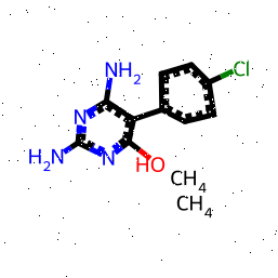 C.C.Nc1nc(N)c(-c2ccc(Cl)cc2)c(O)n1